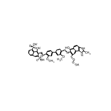 COc1cc(-c2ccc(N=Nc3c(S(=O)(=O)O)cc4cccc(S(=O)(=O)O)c4c3O)c(OC)c2)ccc1N=Nc1c(SOOO)cc2c3c(ccc2c1O)NC(C)N3